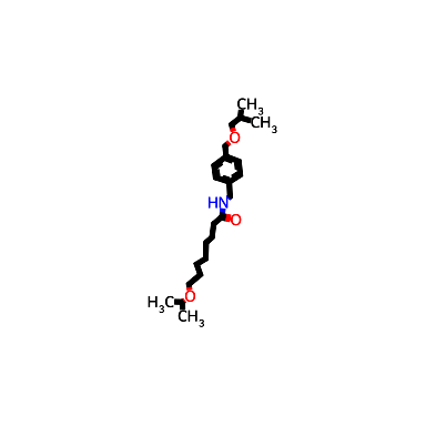 CC(C)COCc1ccc(CNC(=O)CCCCCCCOC(C)C)cc1